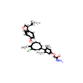 C=C1/C(F)=C\C=C(\c2c(C)cc(OCC(N)=O)cc2C)CCC[C@H]1Oc1ccc2c(c1)OC[C@H]2CC(=O)O